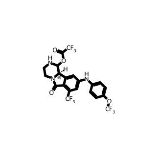 O=C1c2c(cc(Nc3ccc(OC(F)(F)F)cc3)cc2C(F)(F)F)[C@@H]2C(OC(=O)C(F)(F)F)NCCN12